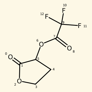 O=C1OCCC1OC(=O)C(F)(F)F